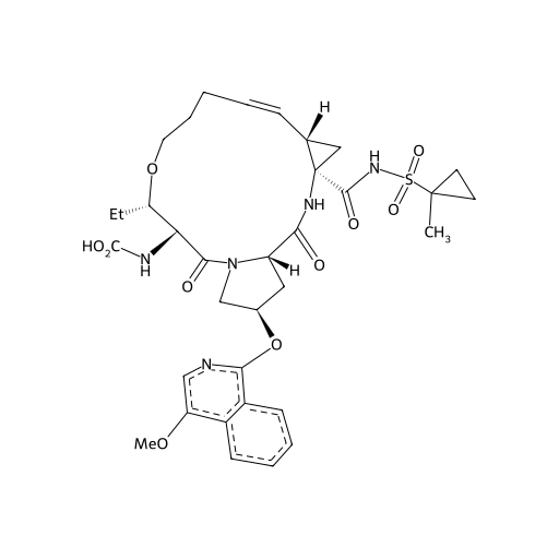 CC[C@@H]1OCCC/C=C\[C@@H]2C[C@@]2(C(=O)NS(=O)(=O)C2(C)CC2)NC(=O)[C@@H]2C[C@@H](Oc3ncc(OC)c4ccccc34)CN2C(=O)[C@H]1NC(=O)O